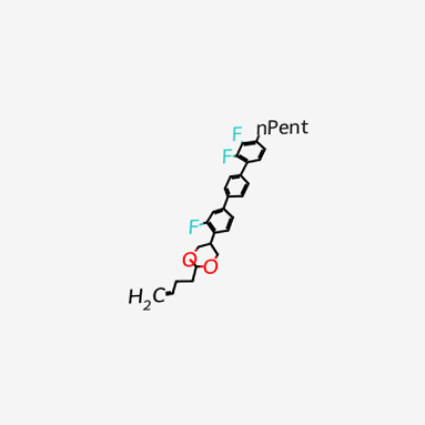 C=CCCC1OCC(c2ccc(-c3ccc(-c4ccc(CCCCC)c(F)c4F)cc3)cc2F)CO1